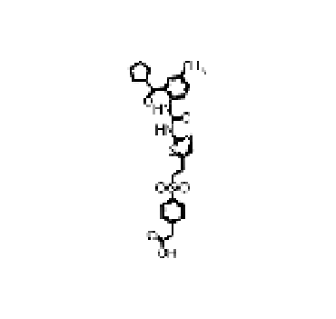 Cc1ccc(NC(=O)Nc2ncc(CCS(=O)(=O)c3ccc(CC(=O)O)cc3)s2)c(C(=O)C2CCCC2)c1